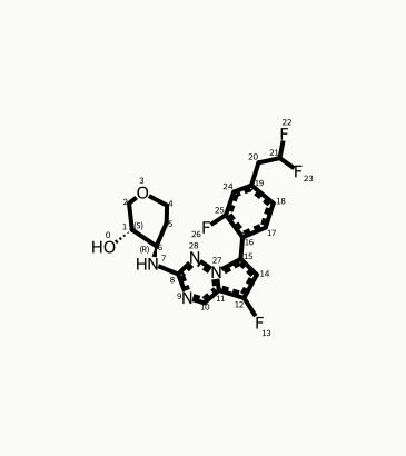 O[C@@H]1COCC[C@H]1Nc1ncc2c(F)cc(-c3ccc(CC(F)F)cc3F)n2n1